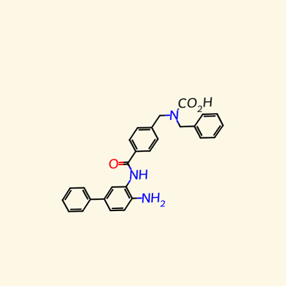 Nc1ccc(-c2ccccc2)cc1NC(=O)c1ccc(CN(Cc2ccccc2)C(=O)O)cc1